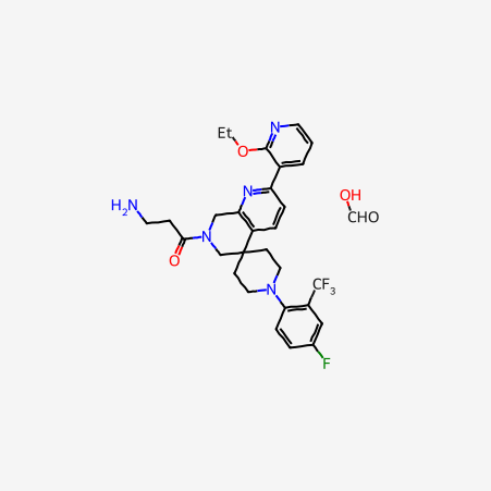 CCOc1ncccc1-c1ccc2c(n1)CN(C(=O)CCN)CC21CCN(c2ccc(F)cc2C(F)(F)F)CC1.O=CO